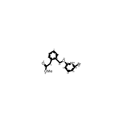 COC(=O)Cc1ccccc1COc1cccc(Br)n1